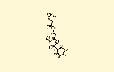 CCOC(=O)CCCC(C=O)OC(=O)c1ccccc1